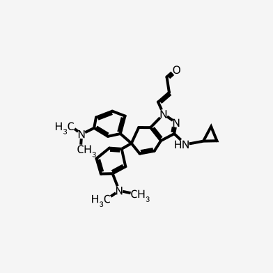 CN(C)c1cccc(C2(c3cccc(N(C)C)c3)C=Cc3c(NC4CC4)nn(C=CC=O)c3C2)c1